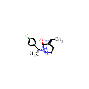 C/C=C1\CCNN(C(C)c2ccc(F)cc2)C1=O